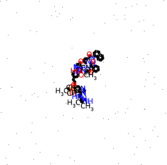 Cc1[nH]nc(Nc2ncnc3cc(OCCC4CCN(c5ncc(O[C@H]6C[C@@H](C(=O)N[C@@H]7CCCc8ccccc87)N(C(=O)[C@@H](NC(=O)[C@H](C)N(C)C(=O)O)C7CCCCC7)C6)cn5)CC4)c(S(=O)(=O)C(C)(C)C)cc23)c1C